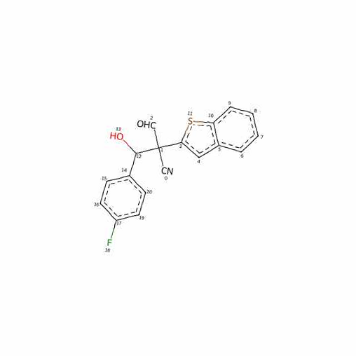 N#CC(C=O)(c1cc2ccccc2s1)C(O)c1ccc(F)cc1